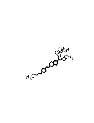 C=C(CO)C(=O)OCC(CCOC)c1ccc2c(c1)CCC(/C=C/C1CCC(CCCCC)CC1)C2